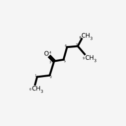 CCCC(=O)CCC(C)C